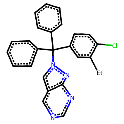 CCc1cc(C(c2ccccc2)(c2ccccc2)n2cc3cncnc3n2)ccc1Cl